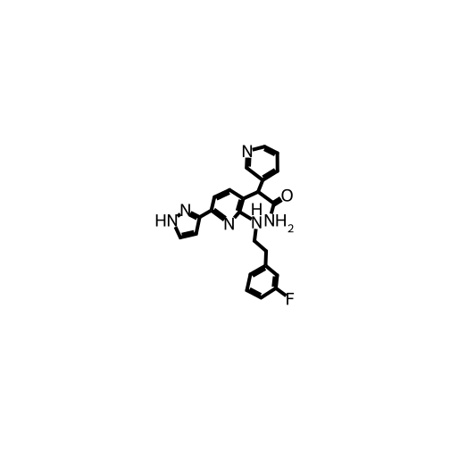 NC(=O)C(c1cccnc1)c1ccc(-c2cc[nH]n2)nc1NCCc1cccc(F)c1